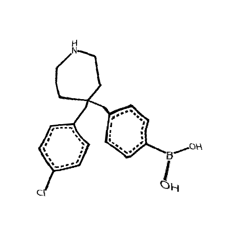 OB(O)c1ccc(C2(c3ccc(Cl)cc3)CCNCC2)cc1